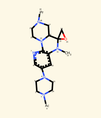 CC(=O)N1CCN(c2cnc3c(c2)N(C)C2(CO2)C2CN(C(C)C)CCN32)CC1